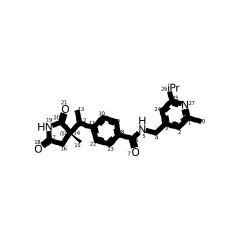 Cc1cc(CNC(=O)c2ccc(C(C)[C@]3(C)CC(=O)NC3=O)cc2)cc(C(C)C)n1